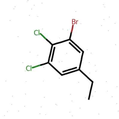 CCc1cc(Cl)c(Cl)c(Br)c1